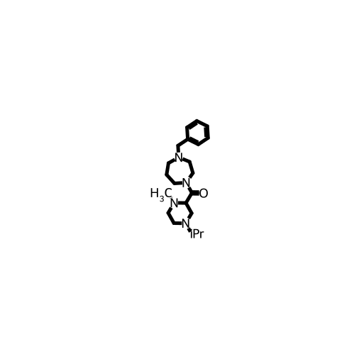 CC(C)N1CCN(C)C(C(=O)N2CCCN(Cc3ccccc3)CC2)C1